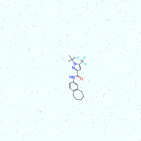 CC(C)(C)n1nc(C(=O)Nc2ccc3c(c2)CCCCC3)cc1C(F)(F)F